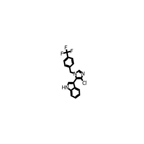 FC(F)(F)c1ccc(Cn2cnc(Cl)c2-c2c[nH]c3ccccc23)cc1